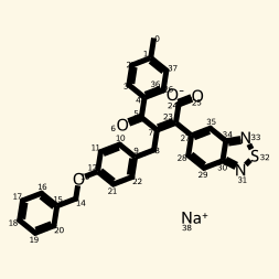 Cc1ccc(C(=O)C(Cc2ccc(OCc3ccccc3)cc2)=C(C(=O)[O-])c2ccc3nsnc3c2)cc1.[Na+]